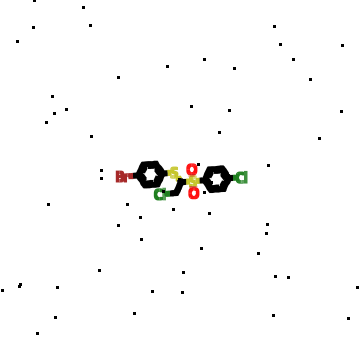 O=S(=O)(c1ccc(Cl)cc1)C(CCl)Sc1ccc(Br)cc1